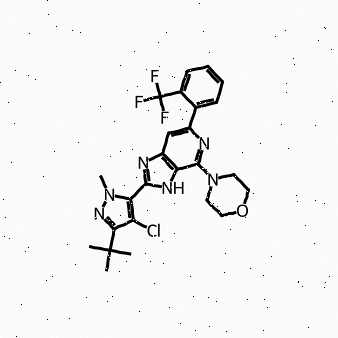 Cn1nc(C(C)(C)C)c(Cl)c1-c1nc2cc(-c3ccccc3C(F)(F)F)nc(N3CCOCC3)c2[nH]1